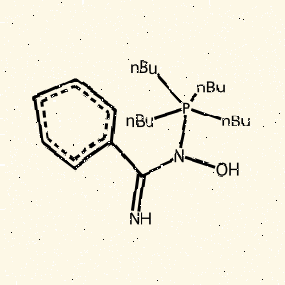 CCCCP(CCCC)(CCCC)(CCCC)N(O)C(=N)c1ccccc1